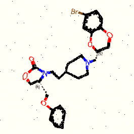 O=C1OC[C@@H](COc2ccccc2)N1CCC1CCN(C[C@H]2COc3ccc(Br)cc3O2)CC1